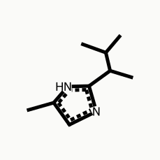 Cc1cnc(C(C)C(C)C)[nH]1